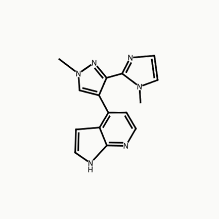 Cn1cc(-c2ccnc3[nH]ccc23)c(-c2nccn2C)n1